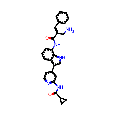 NC/C(=C\c1ccccc1)C(=O)Nc1cccc2c(-c3ccnc(NC(=O)C4CC4)c3)c[nH]c12